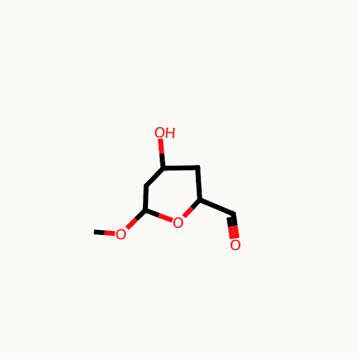 COC1CC(O)CC(C=O)O1